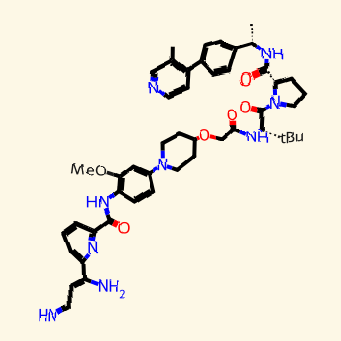 COc1cc(N2CCC(OCC(=O)N[C@H](C(=O)N3CCC[C@H]3C(=O)N[C@@H](C)c3ccc(-c4ccncc4C)cc3)C(C)(C)C)CC2)ccc1NC(=O)c1cccc(/C(N)=C/C=N)n1